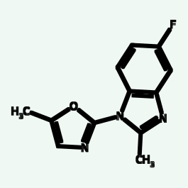 Cc1cnc(-n2c(C)nc3cc(F)ccc32)o1